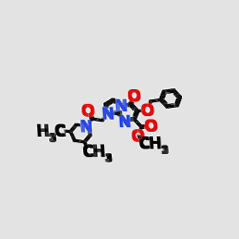 COC(=O)c1nc2n(CC(=O)N3CC(C)CC(C)C3)ccn2c(=O)c1OCc1ccccc1